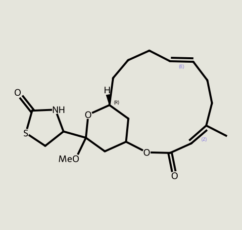 COC1(C2CSC(=O)N2)CC2C[C@@H](CCC/C=C/CC/C(C)=C\C(=O)O2)O1